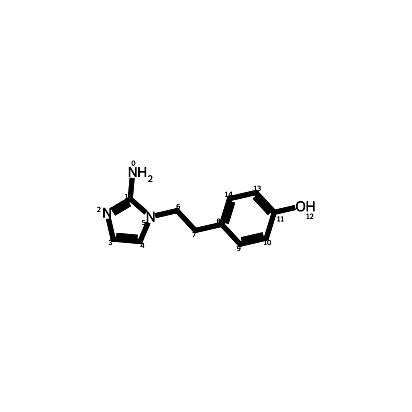 Nc1nccn1CCc1ccc(O)cc1